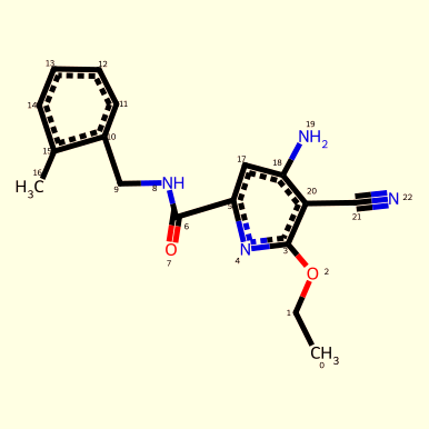 CCOc1nc(C(=O)NCc2ccccc2C)cc(N)c1C#N